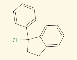 ClC1(c2ccccc2)CCc2ccccc21